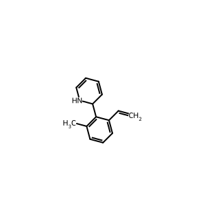 C=Cc1cccc(C)c1C1C=CC=CN1